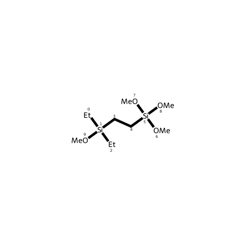 CC[Si](CC)(CC[Si](OC)(OC)OC)OC